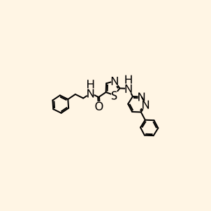 O=C(NCCc1ccccc1)c1cnc(Nc2ccc(-c3ccccc3)nn2)s1